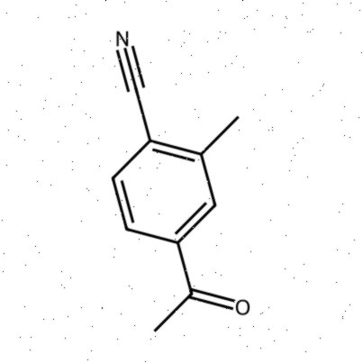 CC(=O)c1ccc(C#N)c(C)c1